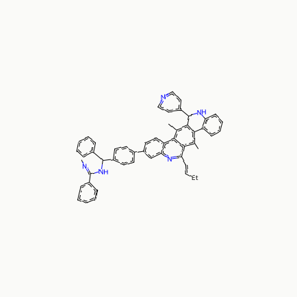 CC/C=C/c1nc2cc(-c3ccc(C(N/C(=N\C)c4ccccc4)c4ccccc4)cc3)ccc2c2c(C)c3c(c(C)c12)-c1ccccc1NC3c1ccncc1